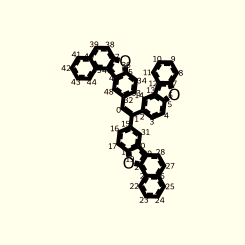 C(=C(/c1ccc2oc3ccccc3c2c1)c1ccc2oc3c4ccccc4ccc3c2c1)/c1ccc2oc3ccc4ccccc4c3c2c1